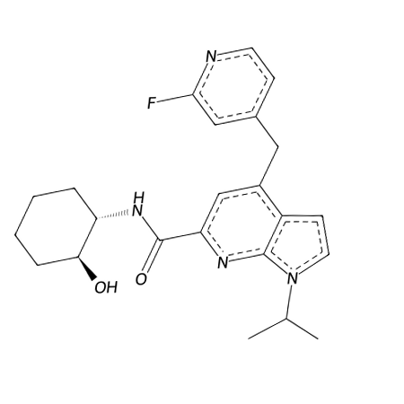 CC(C)n1ccc2c(Cc3ccnc(F)c3)cc(C(=O)N[C@H]3CCCC[C@@H]3O)nc21